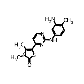 Cc1ccc(Nc2nccc(-c3sc(=O)n(C)c3C)n2)cc1N